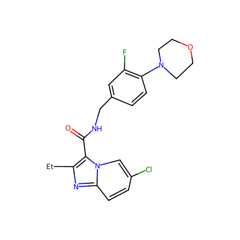 CCc1nc2ccc(Cl)cn2c1C(=O)NCc1ccc(N2CCOCC2)c(F)c1